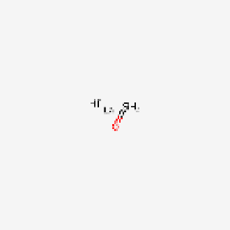 O=[SiH2].[Hf].[La]